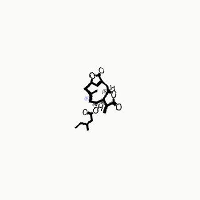 C=C1C(=O)O[C@H]2CC3=CC(C/C(C)=C/[C@@H](OC(=O)CC(C)CC)[C@H]12)OC3=O